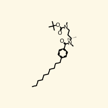 CCCCCCCCCCc1ccc(C(=O)N(C)[C@@H](C)CCN(C)C(=O)OC(C)(C)C)cc1